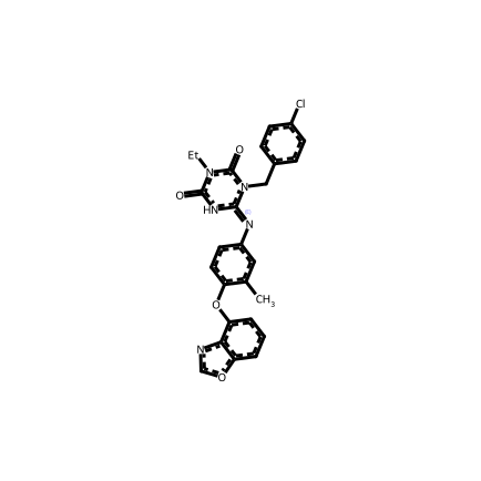 CCn1c(=O)[nH]/c(=N\c2ccc(Oc3cccc4ocnc34)c(C)c2)n(Cc2ccc(Cl)cc2)c1=O